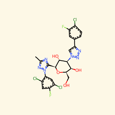 Cc1nc([C@@H]2O[C@H](CO)[C@H](O)[C@H](n3cc(-c4ccc(Cl)c(F)c4)nn3)[C@H]2O)n(-c2cc(Cl)c(F)cc2Cl)n1